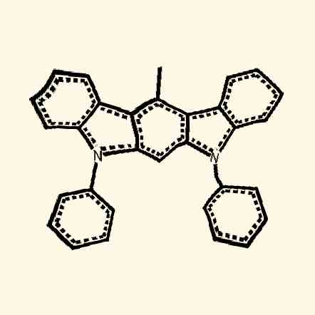 Cc1c2c3ccccc3n(-c3ccccc3)c2cc2c1c1ccccc1n2-c1ccccc1